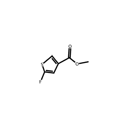 COC(=O)c1[c]sc(F)c1